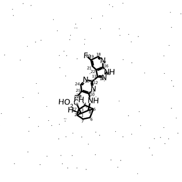 O=C(O)[C@H]1C2CCC(CC2)[C@@H]1Nc1nc(-c2n[nH]c3ncc(F)cc23)ncc1F